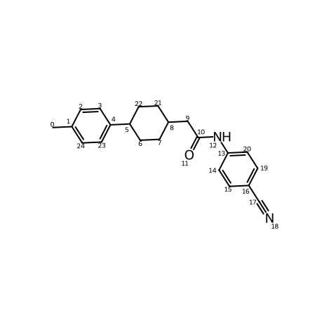 Cc1ccc(C2CCC(CC(=O)Nc3ccc(C#N)cc3)CC2)cc1